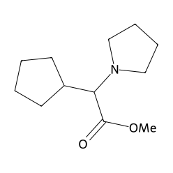 COC(=O)C(C1CCCC1)N1CCCC1